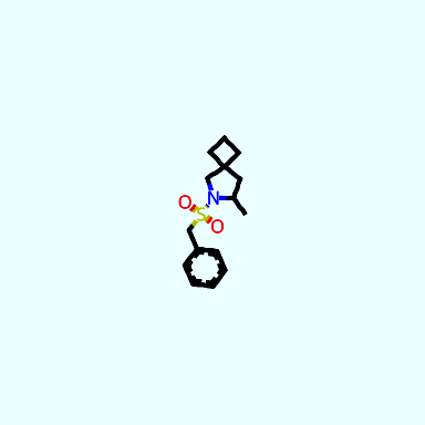 CC1CC2(CCC2)CN1S(=O)(=O)Cc1ccccc1